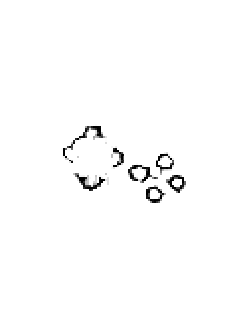 C1=Cc2cc3ccc(cc4nc(cc5ccc(cc1n2)[nH]5)C=C4)[nH]3.c1cc[c]([Pd]([c]2ccccc2)([c]2ccccc2)[c]2ccccc2)cc1